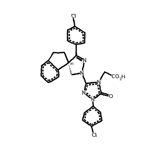 O=C(O)Cn1c(N2C[C@]3(CCc4ccccc43)C(c3ccc(Cl)cc3)=N2)nn(-c2ccc(Cl)cc2)c1=O